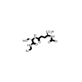 CCC(=O)N[C@@H](CCC(=O)N[C@@H](CO)C(=O)NCC(C)=O)C(=O)O